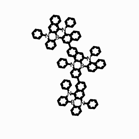 c1ccc(N2c3ccccc3B3c4ccccc4N(c4ccccc4)c4c3c2cc2ccc(-c3ccc5c(c3)B3c6ccc7ccccc7c6N(c6ccccc6)c6cc7cc(-c8cc9c(c%10ccccc8%10)N(c8ccccc8)c8c%10c(cc%11ccccc8%11)N(c8ccccc8)c8ccccc8B9%10)ccc7c(c63)N5c3ccccc3)cc42)cc1